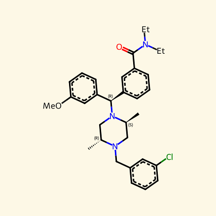 CCN(CC)C(=O)c1cccc([C@H](c2cccc(OC)c2)N2C[C@@H](C)N(Cc3cccc(Cl)c3)C[C@@H]2C)c1